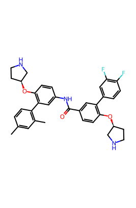 Cc1ccc(-c2cc(NC(=O)c3ccc(O[C@H]4CCNC4)c(-c4ccc(F)c(F)c4)c3)ccc2O[C@H]2CCNC2)c(C)c1